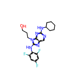 OCCCn1c(Nc2c(F)cc(F)cc2F)nc2cnc(NC3CCCCC3)nc21